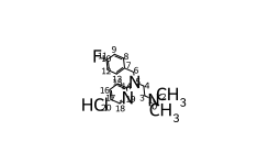 CN(C)CCN(Cc1ccc(F)cc1)c1ccccn1.Cl